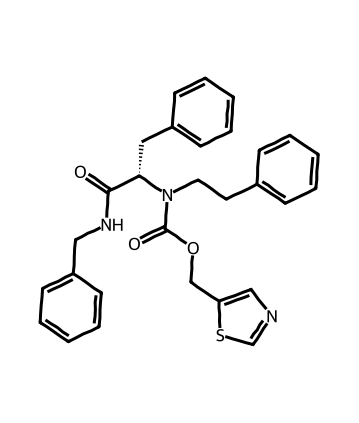 O=C(NCc1ccccc1)[C@H](Cc1ccccc1)N(CCc1ccccc1)C(=O)OCc1cncs1